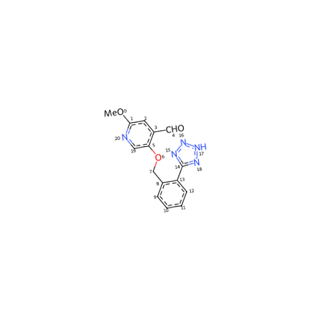 COc1cc(C=O)c(OCc2ccccc2-c2nn[nH]n2)cn1